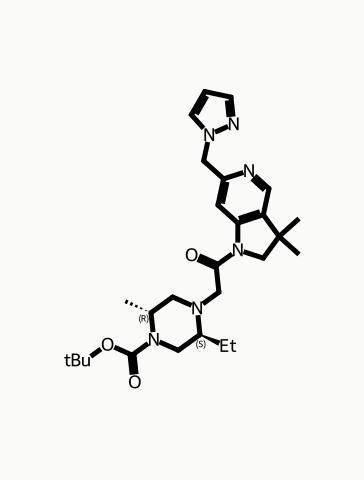 CC[C@H]1CN(C(=O)OC(C)(C)C)[C@H](C)CN1CC(=O)N1CC(C)(C)c2cnc(Cn3cccn3)cc21